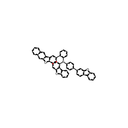 c1ccc(N(c2ccc(-c3ccc4c(c3)oc3ccccc34)cc2)c2cccc3oc4ccccc4c23)c(-c2ccc3oc4cc5ccccc5cc4c3c2)c1